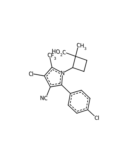 CC1(C(=O)O)CCC1n1c(-c2ccc(Cl)cc2)c(C#N)c(Cl)c1C(F)(F)F